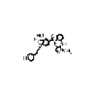 Cc1cc(C(=O)N2Cc3cnn(C)c3Nc3ccccc32)ccc1OCCCC1CCNCC1.Cl